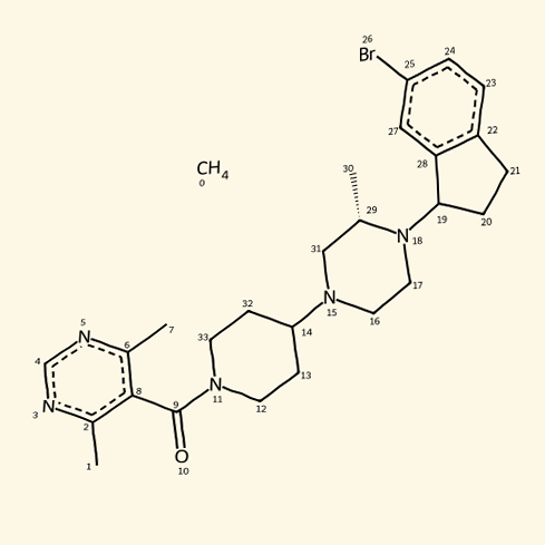 C.Cc1ncnc(C)c1C(=O)N1CCC(N2CCN(C3CCc4ccc(Br)cc43)[C@@H](C)C2)CC1